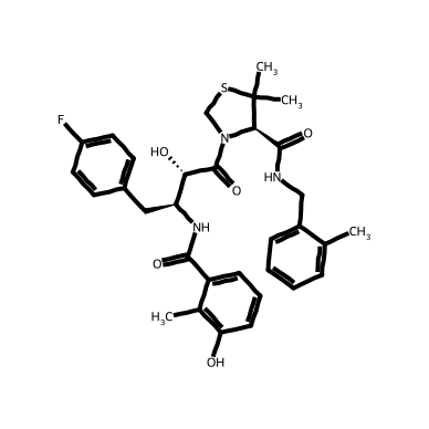 Cc1ccccc1CNC(=O)[C@H]1N(C(=O)[C@@H](O)[C@H](Cc2ccc(F)cc2)NC(=O)c2cccc(O)c2C)CSC1(C)C